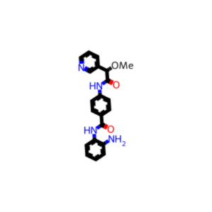 COC(C(=O)Nc1ccc(C(=O)Nc2ccccc2N)cc1)c1cccnc1